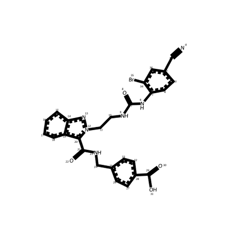 N#Cc1ccc(NC(=O)NCCn2nc3ccccc3c2C(=O)NCc2ccc(C(=O)O)cc2)c(Br)c1